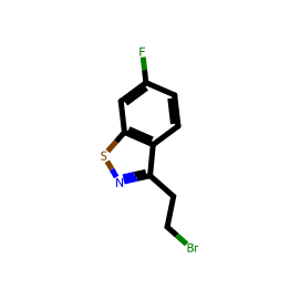 Fc1ccc2c(CCBr)nsc2c1